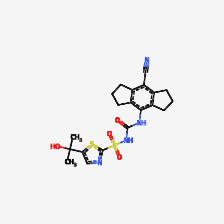 CC(C)(O)c1cnc(S(=O)(=O)NC(=O)Nc2c3c(c(C#N)c4c2CCC4)CCC3)s1